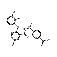 Cc1c(Cl)cccc1Oc1ncc(Cl)cc1C(=O)N[C@@H](C)c1ccc(C(=O)O)cc1